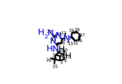 C[C@H]1CC2CC([C@@H]1Nc1cc([N+](C)(C)c3ccccc3)nc(N)n1)C2(C)C